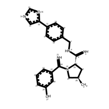 C[C@@H]1C[C@@H](C(=N)NCc2ccc(-c3cnco3)cc2)N(C(=N)c2cccc(O)c2)C1